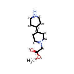 COC(=O)CN1CCC(C2CCNCC2)CC1